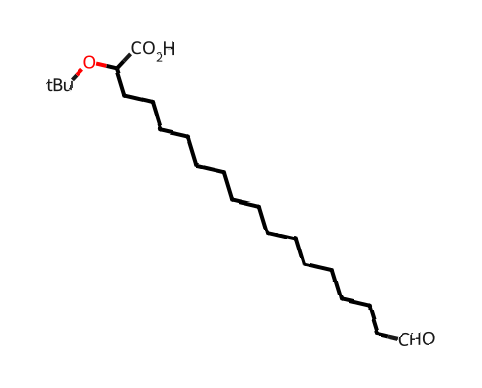 CC(C)(C)OC(CCCCCCCCCCCCCCCC=O)C(=O)O